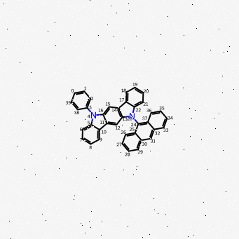 c1ccc(-n2c3ccccc3c3cc4c(cc32)c2ccccc2n4-c2c3ccccc3cc3ccccc23)cc1